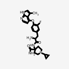 Cc1c[nH]c2nccc(Oc3ccc(CC(N)C(=O)NC4(C(N)=O)CCN(C5CC5)CC4)cc3F)c12